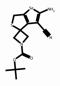 CC(C)(C)OC(=O)N1CC2(C1)SCc1[se]c(N)c(C#N)c12